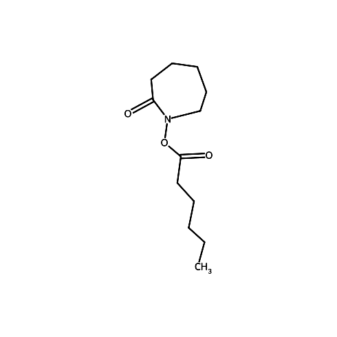 CCCCCC(=O)ON1CCCCCC1=O